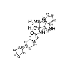 CC(NC(=O)CN1CCN(C2CCCCC2)CC1)(C(N)=O)c1c[nH]c2ccccc12